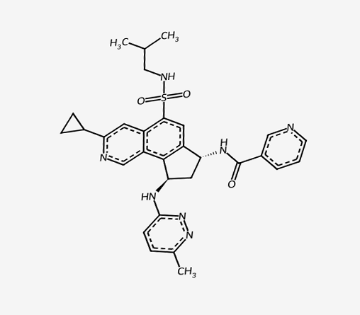 Cc1ccc(N[C@@H]2C[C@@H](NC(=O)c3cccnc3)c3cc(S(=O)(=O)NCC(C)C)c4cc(C5CC5)ncc4c32)nn1